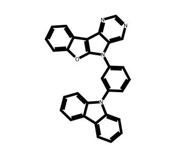 c1cc(-n2c3ccccc3c3ccccc32)cc(-n2c3cncnc3c3c4ccccc4oc32)c1